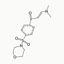 CN(C)/C=C/C(=O)c1ccc(S(=O)(=O)N2CCOCC2)cc1